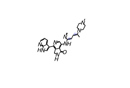 C=N/C(=C\C=C(/C)N1CCN(C)CC1)Nc1cnc(-c2c[nH]c3ncccc23)c2c1C(=O)NC2